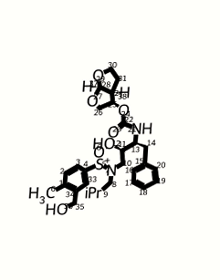 Cc1ccc([S+]([O-])N(CC(C)C)C[C@@H](O)[C@H](Cc2ccccc2)NC(=O)O[C@H]2CO[C@H]3OCC[C@H]32)cc1CO